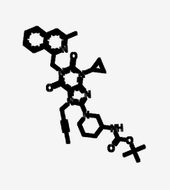 CC#CCn1c(N2CCCC(NC(=O)OC(C)(C)C)C2)nc2c1c(=O)n(Cc1nc(C)cc3ccccc13)c(=O)n2C1CC1